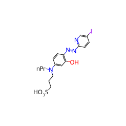 CCCN(CCCS(=O)(=O)O)c1ccc(N=Nc2ccc(I)cn2)c(O)c1